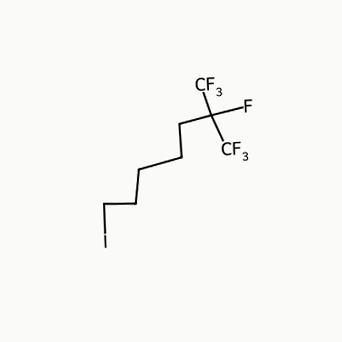 FC(F)(F)C(F)(CCCCCI)C(F)(F)F